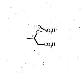 C[C@@H](O)CC(=O)O.O=S(=O)(O)O